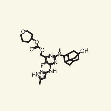 Cc1cc(Nc2nc(N(C)C3C4CC5CC3CC(O)(C5)C4)nc(COC(=O)OC3CCCOCC3)c2F)n[nH]1